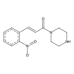 O=C(C=Cc1ccccc1[N+](=O)[O-])N1CCNCC1